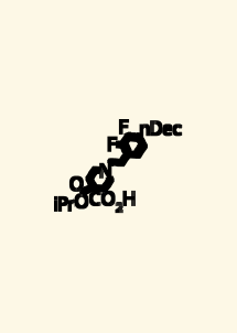 CCCCCCCCCCc1ccc(CCN2CCC(C(=O)O)(C(=O)OC(C)C)CC2)c(F)c1F